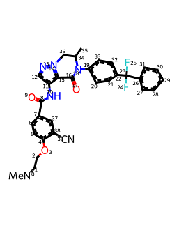 CNCCOc1ccc(C(=O)Nc2cnn3c2C(=O)N(c2ccc(C(F)(F)c4ccccc4)cc2)C(C)C3)cc1C#N